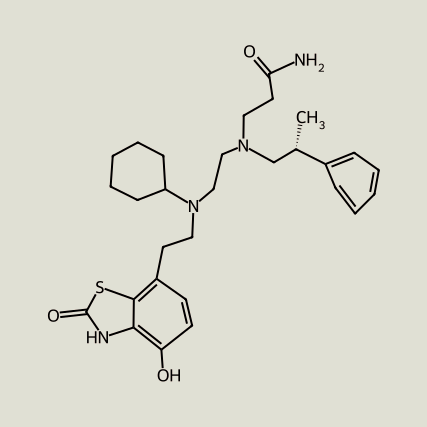 C[C@@H](CN(CCC(N)=O)CCN(CCc1ccc(O)c2[nH]c(=O)sc12)C1CCCCC1)c1ccccc1